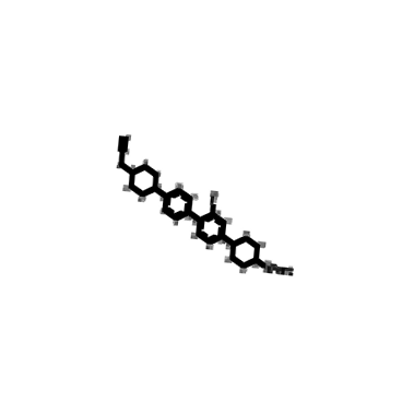 C#CCC1CCC(c2ccc(-c3ccc(C4CCC(CCCCC)CC4)cc3F)cc2)CC1